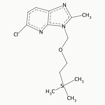 Cc1nc2ccc(Cl)nc2n1COCC[Si](C)(C)C